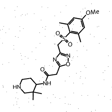 COc1cc(C)c(S(=O)(=O)Cc2noc(CC(=O)NC3CCNCC3(C)C)n2)c(C)c1